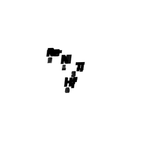 [Hf].[Ni].[Re].[Ti]